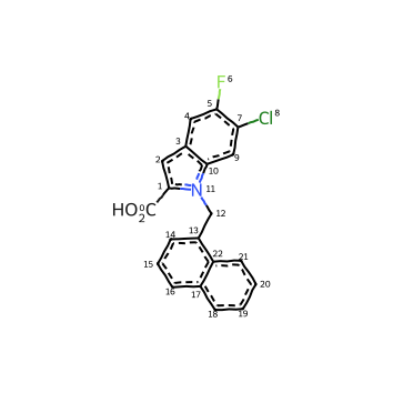 O=C(O)c1cc2cc(F)c(Cl)cc2n1Cc1cccc2ccccc12